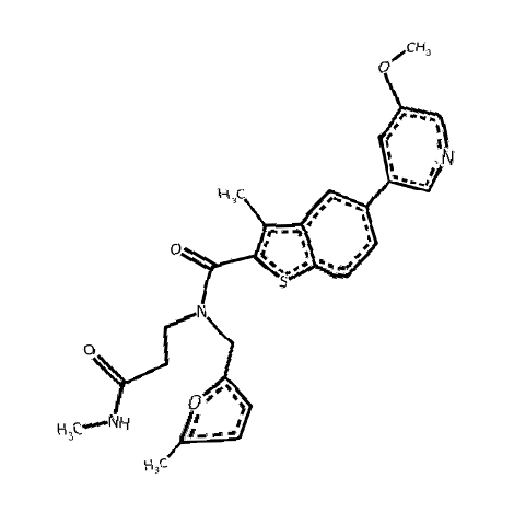 CNC(=O)CCN(Cc1ccc(C)o1)C(=O)c1sc2ccc(-c3cncc(OC)c3)cc2c1C